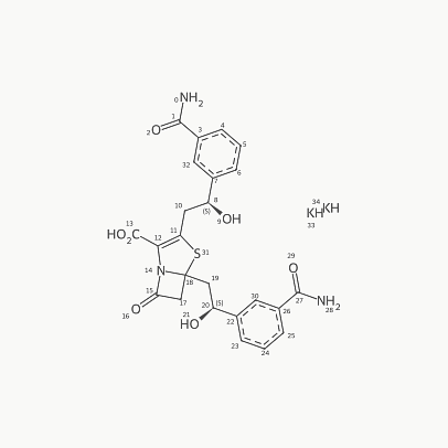 NC(=O)c1cccc([C@@H](O)CC2=C(C(=O)O)N3C(=O)CC3(C[C@H](O)c3cccc(C(N)=O)c3)S2)c1.[KH].[KH]